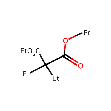 CCOC(=O)C(CC)(CC)C(=O)OC(C)C